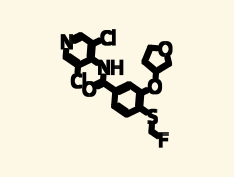 O=C(Nc1c(Cl)cncc1Cl)c1ccc(SCF)c(OC2CCOC2)c1